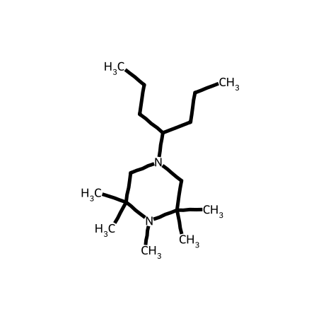 CCCC(CCC)N1CC(C)(C)N(C)C(C)(C)C1